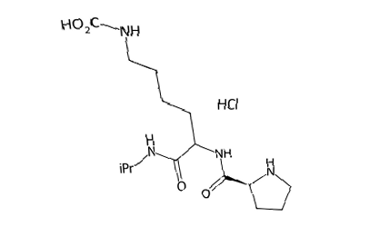 CC(C)NC(=O)C(CCCCNC(=O)O)NC(=O)[C@@H]1CCCN1.Cl